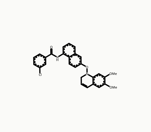 COc1cc2c(cc1OC)N(Oc1ccc3c(NC(=O)c4cccc(Cl)c4)cccc3c1)CC=C2